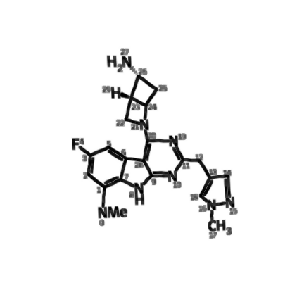 CNc1cc(F)cc2c1[nH]c1nc(Cc3cnn(C)c3)nc(N3C[C@H]4C3C[C@H]4N)c12